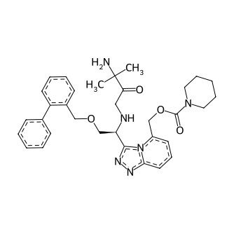 CC(C)(N)C(=O)CN[C@H](COCc1ccccc1-c1ccccc1)c1nnc2cccc(COC(=O)N3CCCCC3)n12